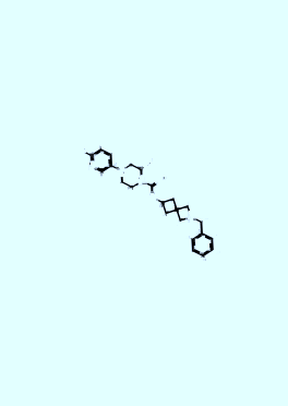 C[C@@H]1CN(c2ccc(C(F)(F)F)nc2)C[C@@H](C)N1C(=O)OC1CC2(C1)CN(Cc1ccccc1)C2